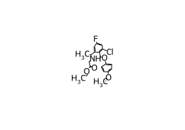 CCOC(=O)CNC(C)c1cc(F)cc(Cl)c1COc1ccc(OC)cc1